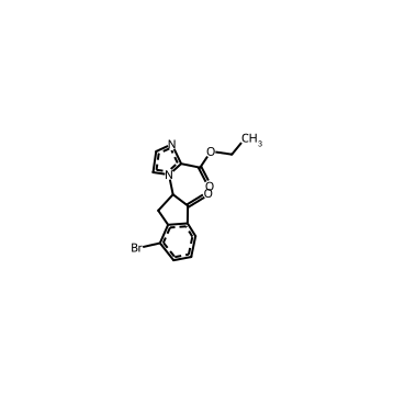 CCOC(=O)c1nccn1C1Cc2c(Br)cccc2C1=O